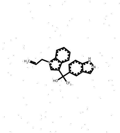 C=CCn1cc(C(O)(c2ccc3[nH]ncc3c2)C(F)(F)F)c2ccccc21